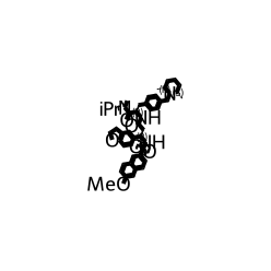 COc1ccc2cc(S(=O)(=O)N[C@H](CC(=O)N[C@H](Cc3ccc(CN4[C@H](C)CCC[C@@H]4C)cc3)C(=O)N(C)C(C)C)c3ccc4c(c3)CCO4)ccc2c1